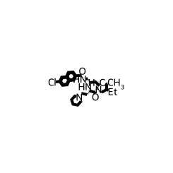 C=C(C)C(CC)CN1CC[C@@H](CNC(=O)c2ccc3cc(Cl)ccc3c2)N[C@@H](CCN2CCCCC2)C1=O